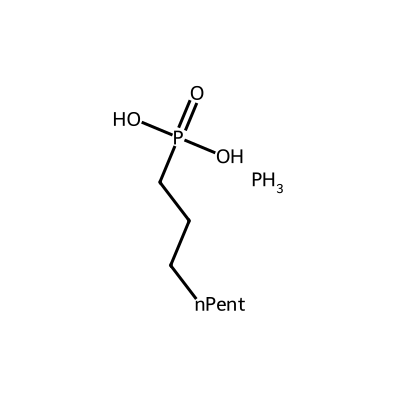 CCCCCCCCP(=O)(O)O.P